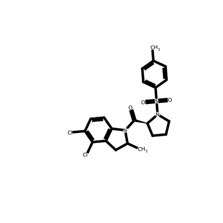 Cc1ccc(S(=O)(=O)N2CCC[C@H]2C(=O)N2c3ccc(Cl)c(Cl)c3CC2C)cc1